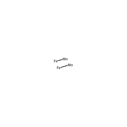 [Mn][Fe].[Mn][Fe]